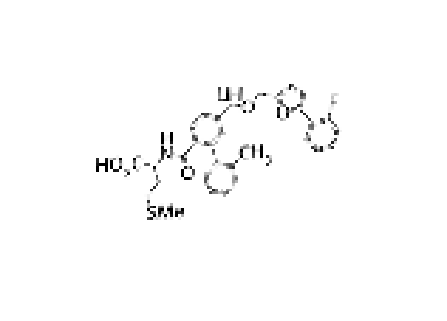 CSCCC(NC(=O)c1ccc(COCc2ccc(-c3ccccc3F)o2)cc1-c1ccccc1C)C(=O)O.[LiH]